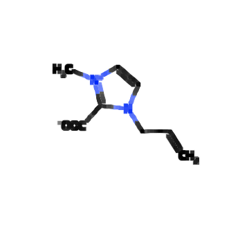 C=CCn1cc[n+](C)c1C(=O)[O-]